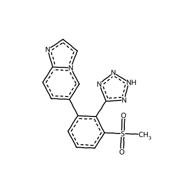 CS(=O)(=O)c1cccc(-c2ccc3nccn3c2)c1-c1nn[nH]n1